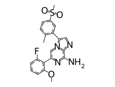 COc1cccc(F)c1-c1cn2c(-c3cc(S(C)(=O)=O)ccc3C)cnc2c(N)n1